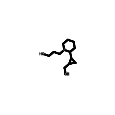 OCCCN1CCCCC1C1CC1CO